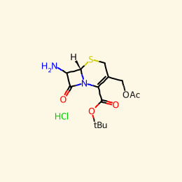 CC(=O)OCC1=C(C(=O)OC(C)(C)C)N2C(=O)C(N)[C@@H]2SC1.Cl